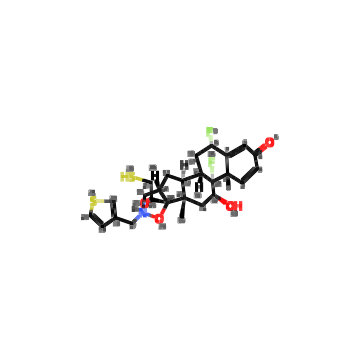 C[C@]12C=CC(=O)C=C1[C@@H](F)C[C@H]1[C@@H]3C[C@H]4CN(Cc5ccsc5)O[C@@]4(C(=O)CS)[C@@]3(C)C[C@H](O)[C@@]12F